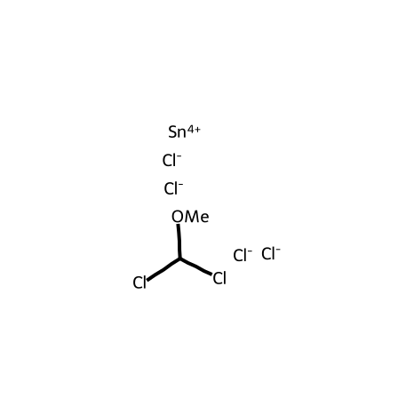 COC(Cl)Cl.[Cl-].[Cl-].[Cl-].[Cl-].[Sn+4]